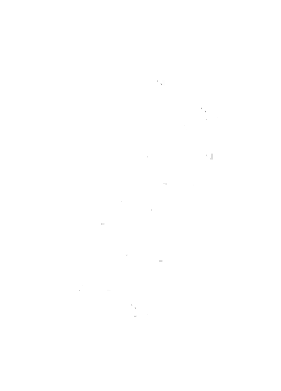 NCC1=C(N)NCC(C=Cc2c(F)ccc(N)c2F)=C1